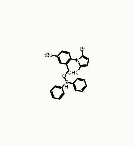 CC(C)(C)c1ccc(-n2c(Br)ccc2C=O)c(CO[SiH](c2ccccc2)c2ccccc2)c1